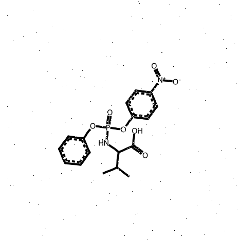 CC(C)C(NP(=O)(Oc1ccccc1)Oc1ccc([N+](=O)[O-])cc1)C(=O)O